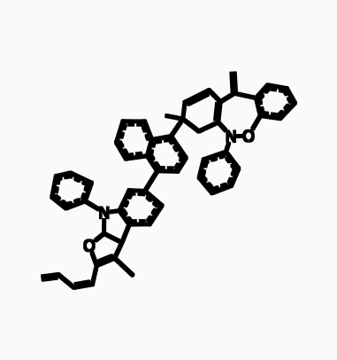 C=C/C=C\C1=C(C)C2c3ccc(-c4ccc(C5(C)C=CC6=C(C5)N(c5ccccc5)Oc5ccccc5C6=C)c5ccccc45)cc3N(c3ccccc3)C2O1